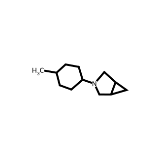 CC1CCC(N2CC3CC3C2)CC1